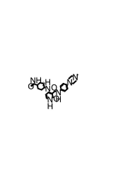 CN1CCN(c2ccc(NC(=O)c3c(NC4CCC(C(N)=O)CC4)cc[nH]c3=O)cc2)CC1